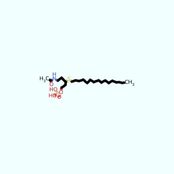 CCCCCCCCCCCCCCCCSC(CCNC(C)=O)CCOP(=O)(O)O